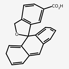 O=C(O)c1ccc2c(c1)C1(OC2)C2=CCC=CC2=Cc2ccccc21